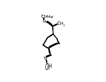 CON=C(C)C1CC=C(C=NO)CC1